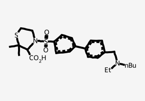 CCCCN(CC)Cc1ccc(-c2ccc(S(=O)(=O)N3CCSC(C)(C)C3C(=O)O)cc2)cc1